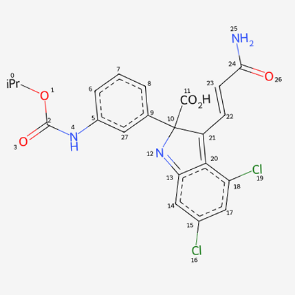 CC(C)OC(=O)Nc1cccc(C2(C(=O)O)N=c3cc(Cl)cc(Cl)c3=C2C=CC(N)=O)c1